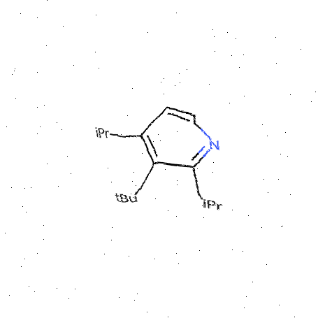 CC(C)c1ccnc(C(C)C)c1C(C)(C)C